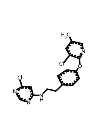 FC(F)(F)c1cnc(Oc2ccc(CCNc3cc(Cl)ncn3)cc2)c(Cl)c1